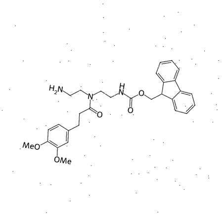 COc1ccc(CCC(=O)N(CCN)CCNC(=O)OCC2c3ccccc3-c3ccccc32)cc1OC